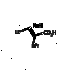 CC/C=C(\CCC)C(=O)O.[NaH]